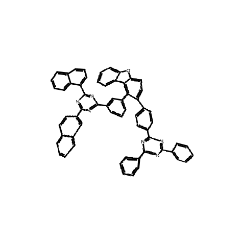 c1ccc(-c2nc(-c3ccccc3)nc(-c3ccc(-c4ccc5oc6ccccc6c5c4-c4cccc(-c5nc(-c6ccc7ccccc7c6)nc(-c6cccc7ccccc67)n5)c4)cc3)n2)cc1